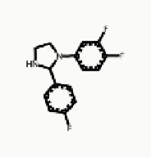 Fc1ccc(C2NCCN2c2ccc(F)c(F)c2)cc1